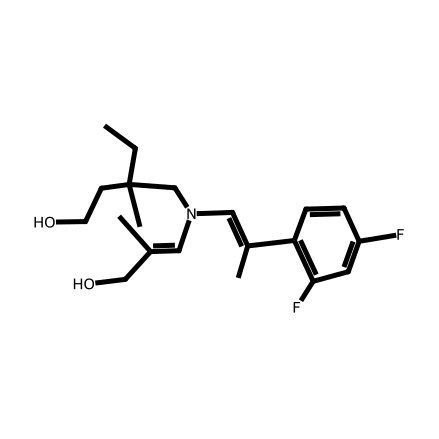 CCC(C)(CCO)CN(/C=C(\C)CO)/C=C(\C)c1ccc(F)cc1F